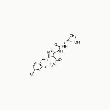 CC(CO)CNC(=O)Nc1snc(OCc2ccc(Cl)cc2F)c1C(N)=O